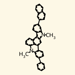 CN1c2cc(-c3ccccc3)ccc2-c2cc3c(c4cccc1c24)c1ccc(-c2ccc4ccccc4c2)cc1n3C